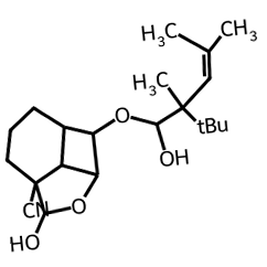 CC(C)=CC(C)(C(O)OC1C2CCCC3(C#N)C(O)OC1C23)C(C)(C)C